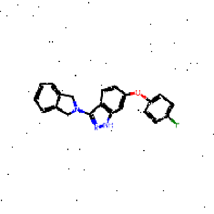 Fc1ccc(Oc2ccc3c(N4Cc5ccccc5C4)n[nH]c3c2)cc1